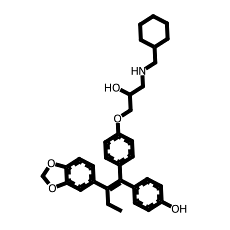 CCC(=C(c1ccc(O)cc1)c1ccc(OCC(O)CNCC2CCCCC2)cc1)c1ccc2c(c1)OCO2